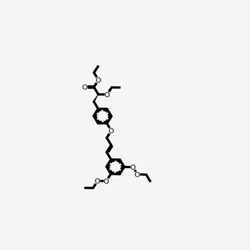 CCOOc1cc(C=CCOc2ccc(C[C@H](OCC)C(=O)OCC)cc2)cc(OOCC)c1